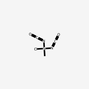 C[Si](Cl)(N=C=O)N=C=O